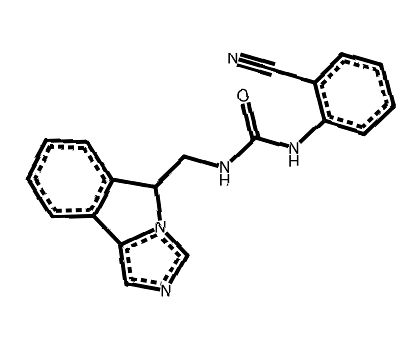 N#Cc1ccccc1NC(=O)NCC1c2ccccc2-c2cncn21